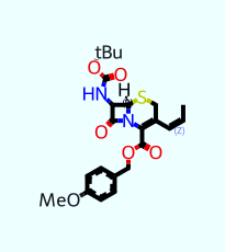 C/C=C\C1=C(C(=O)OCc2ccc(OC)cc2)N2C(=O)C(NC(=O)OC(C)(C)C)[C@H]2SC1